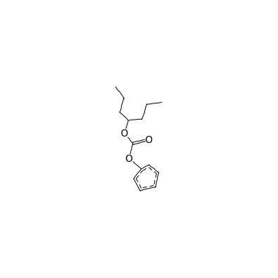 CCCC(CCC)OC(=O)Oc1ccccc1